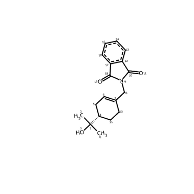 CC(C)(O)[C@@H]1CC=C(CN2C(=O)c3ccccc3C2=O)CC1